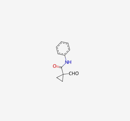 O=CC1(C(=O)Nc2ccccc2)CC1